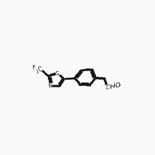 O=CCc1ccc(-c2cnc(C(F)(F)F)s2)cc1